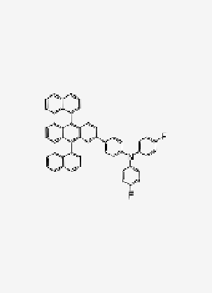 Fc1ccc(N(c2ccc(F)cc2)c2ccc(-c3ccc4c(-c5cccc6ccccc56)c5ccccc5c(-c5cccc6ccccc56)c4c3)cc2)cc1